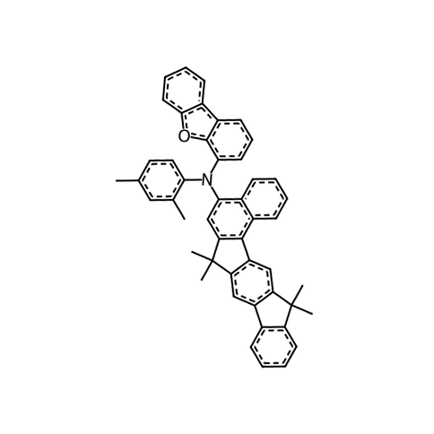 Cc1ccc(N(c2cc3c(c4ccccc24)-c2cc4c(cc2C3(C)C)-c2ccccc2C4(C)C)c2cccc3c2oc2ccccc23)c(C)c1